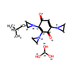 C[SiH](C)C.O=C1C=C(N2CC2)C(=O)C(N2CC2)=C1N1CC1.OB(O)O